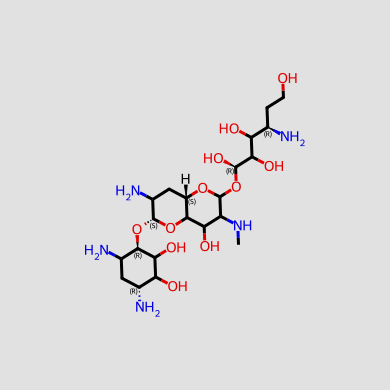 CNC1C(O[C@@H](O)C(O)C(O)[C@H](N)CCO)O[C@H]2CC(N)[C@@H](O[C@@H]3C(N)C[C@@H](N)C(O)C3O)OC2C1O